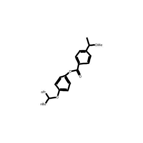 CCCCC(CCC)Oc1ccc(OC(=O)c2ccc(C(C)OC)cc2)cc1